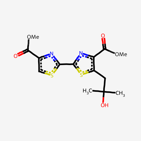 COC(=O)c1csc(-c2nc(C(=O)OC)c(CC(C)(C)O)s2)n1